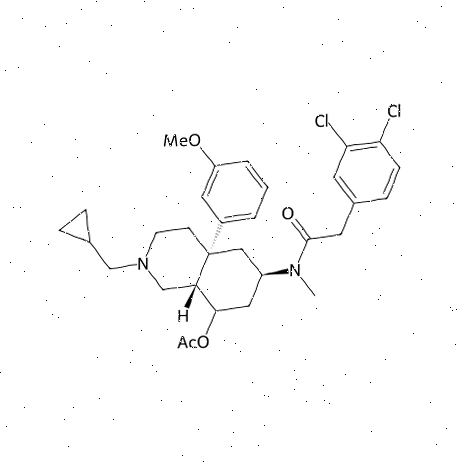 COc1cccc([C@@]23CCN(CC4CC4)C[C@H]2C(OC(C)=O)C[C@H](N(C)C(=O)Cc2ccc(Cl)c(Cl)c2)C3)c1